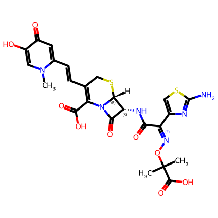 Cn1cc(O)c(=O)cc1C=CC1=C(C(=O)O)N2C(=O)[C@@H](NC(=O)/C(=N\OC(C)(C)C(=O)O)c3csc(N)n3)[C@H]2SC1